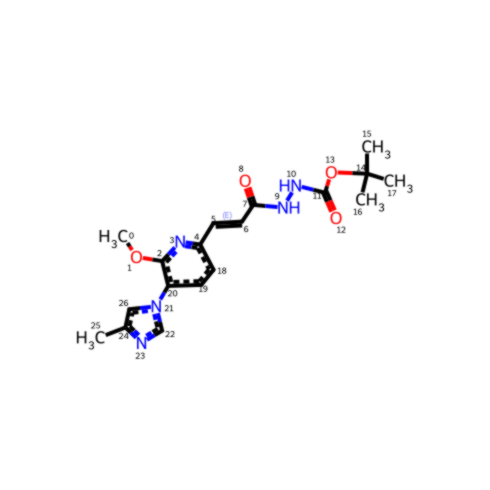 COc1nc(/C=C/C(=O)NNC(=O)OC(C)(C)C)ccc1-n1cnc(C)c1